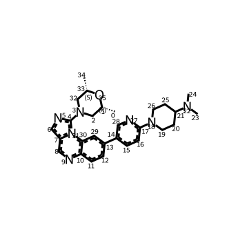 C[C@@H]1CN(c2ncc3cnc4ccc(-c5ccc(N6CCC(N(C)C)CC6)nc5)cc4n23)C[C@H](C)O1